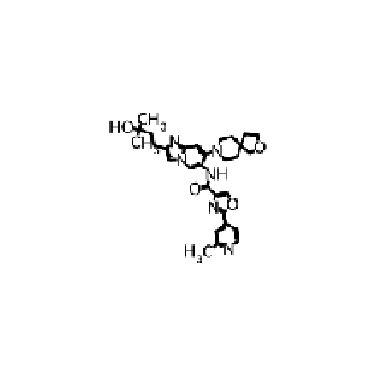 Cc1cc(-c2nc(C(=O)Nc3cn4cc(CCC(C)(C)O)nc4cc3N3CCC4(CCOC4)CC3)co2)ccn1